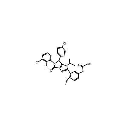 COc1ccc(CC(=O)O)cc1-c1nc2c(n1C(C)C)C(c1ccc(Cl)cc1)N(c1cccc(Cl)c1F)C2=O